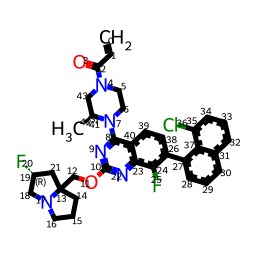 C=CC(=O)N1CCN(c2nc(OCC34CCCN3C[C@H](F)C4)nc3c(F)c(-c4cccc5cccc(Cl)c45)ccc23)[C@@H](C)C1